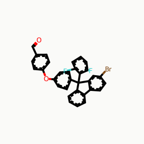 O=Cc1ccc(Oc2ccc(C3(c4c(F)cccc4F)c4ccccc4-c4ccc(Br)cc43)cc2)cc1